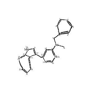 CN(Cc1ccccc1)c1cc(-c2c[nH]c3ncccc23)ncn1